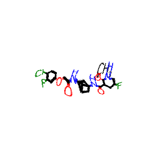 COC1NCC(F)CC1C(=O)NC12CC(C1)C(NC(=O)COc1ccc(Cl)c(F)c1)C2